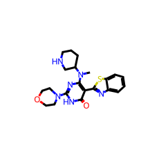 CN(c1nc(N2CCOCC2)[nH]c(=O)c1-c1nc2ccccc2s1)C1CCCNC1